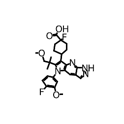 COCC(C)(C)c1c(C2CCC(F)(C(=O)O)CC2)c2nc3[nH]ncc3cc2n1-c1ccc(F)c(OC)c1